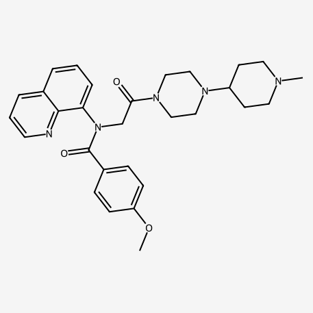 COc1ccc(C(=O)N(CC(=O)N2CCN(C3CCN(C)CC3)CC2)c2cccc3cccnc23)cc1